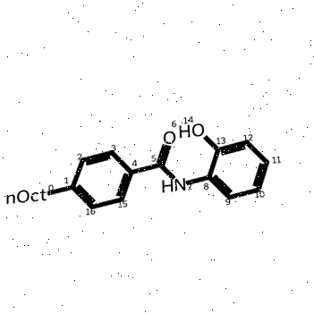 CCCCCCCCc1ccc(C(=O)Nc2ccccc2O)cc1